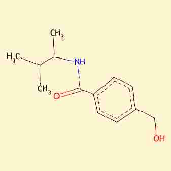 CC(C)C(C)NC(=O)c1ccc(CO)cc1